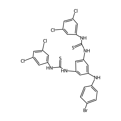 S=C(Nc1cc(Cl)cc(Cl)c1)Nc1cc(NC(=S)Nc2cc(Cl)cc(Cl)c2)cc(Nc2ccc(Br)cc2)c1